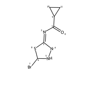 O=C(N=C1[N]NC(Br)S1)C1CC1